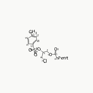 CCCCCC(=O)OCC(CCl)OS(=O)(=O)c1ccc(C)cc1